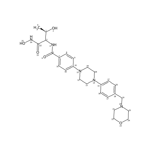 C[C@@H](O)C(NC(=O)c1ccc(N2CCN(c3ccc(CN4CCOCC4)cc3)CC2)cc1)C(=O)NO